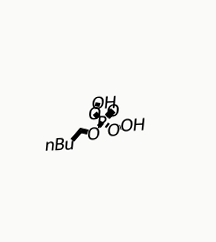 CCCCCOP(=O)(OO)OO